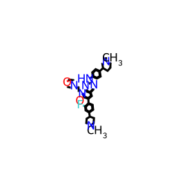 CN1CCC(c2ccc(-c3cc4cnc(Nc5ccc(C6CCCN(C)C6)cc5)nc4n(CCN4CCOCC4)c3=O)c(F)c2)CC1